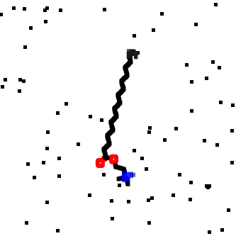 CC(C)CCCCCCCCCCCCCCC(=O)OCC[N+](C)(C)C